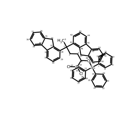 CC(CC[CH](O[Si](c1ccccc1)(c1ccccc1)c1ccccc1)[Zr]([Cl])[Cl])(c1cccc2c1Cc1ccccc1-2)c1cccc2c1Cc1ccccc1-2